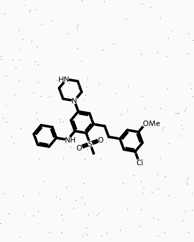 COc1cc(Cl)cc(CCc2cc(N3CCNCC3)cc(Nc3ccccc3)c2S(C)(=O)=O)c1